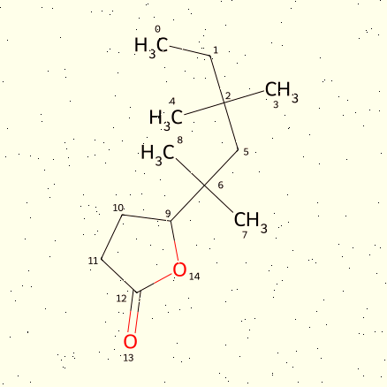 CCC(C)(C)CC(C)(C)C1CCC(=O)O1